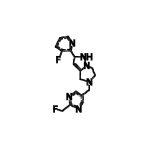 FCc1ncc(CN2CCN3NC(c4ncccc4F)C=C3C2)cn1